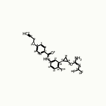 C#CCOc1ccc(C(=O)Nc2ccc(F)c([C@H]3C[C@H]3O/C(N)=N\C(F)F)c2)nc1